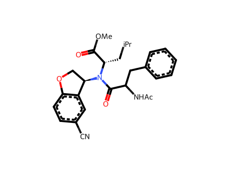 COC(=O)[C@H](CC(C)C)N(C(=O)C(Cc1ccccc1)NC(C)=O)[C@@H]1COc2ccc(C#N)cc21